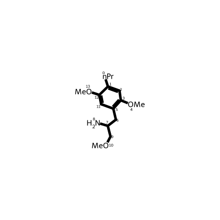 CCCc1cc(OC)c(CC(N)COC)cc1OC